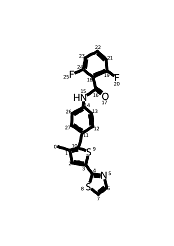 Cc1cc(-c2nccs2)sc1-c1ccc(NC(=O)c2c(F)cccc2F)cc1